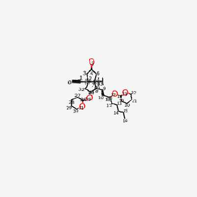 C#C[C@@]12CC(=O)C[C@@H]1[C@@H](C=C[C@H](CCCCC)OC1CCCCO1)[C@H](OC1CCCCO1)C2